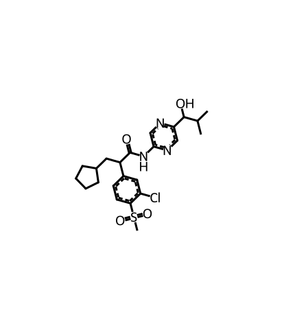 CC(C)C(O)c1cnc(NC(=O)C(CC2CCCC2)c2ccc(S(C)(=O)=O)c(Cl)c2)cn1